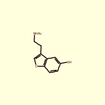 CC(=O)NCCc1coc2ccc(S)cc12